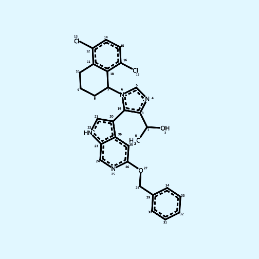 CC(O)c1ncn(C2CCCc3c(Cl)ccc(Cl)c32)c1-c1c[nH]c2cnc(OCc3ccccc3)cc12